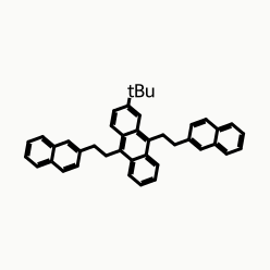 CC(C)(C)c1ccc2c(CCc3ccc4ccccc4c3)c3ccccc3c(CCc3ccc4ccccc4c3)c2c1